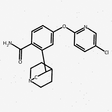 NC(=O)c1ccc(Oc2ccc(Cl)cn2)cc1C1CN2CCC1CC2